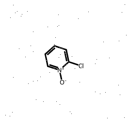 [O-][n+]1cc[c]cc1Cl